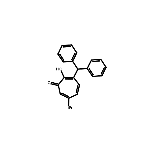 CC(C)c1ccc(C(c2ccccc2)c2ccccc2)c(O)c(=O)c1